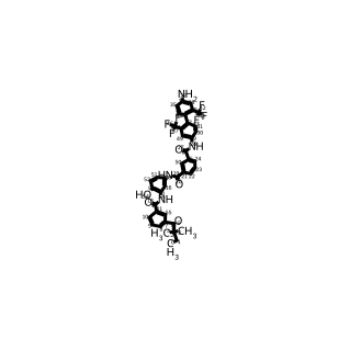 CCC(C)(C)C(=O)c1cccc(C(=O)Nc2cc(NC(=O)c3cccc(C(=O)Nc4ccc(-c5ccc(N)cc5C(F)(F)F)c(C(F)(F)F)c4)c3)ccc2O)c1